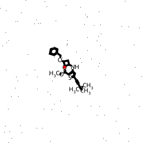 COC(=O)c1sc(C#CC(C)(C)C)cc1NC1CC(OCc2ccccc2)C1